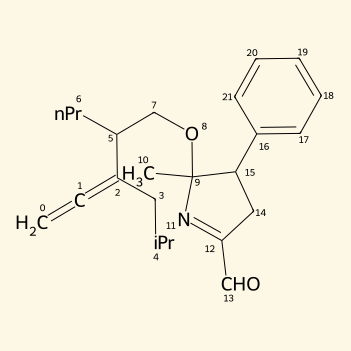 C=C=C(CC(C)C)C(CCC)COC1(C)N=C(C=O)CC1c1ccccc1